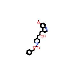 COc1ccc2nccc(C[C@H](O)CC3CCN(C(=O)OCc4ccccc4)CC3)c2c1